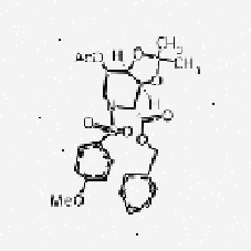 COc1ccc(S(=O)(=O)N2C[C@@H](OC(C)=O)[C@H]3OC(C)(C)O[C@H]3[C@@H]2C(=O)OCc2ccccc2)cc1